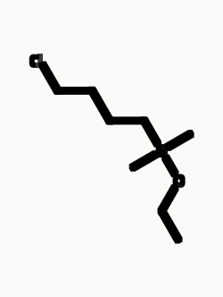 CCO[Si](C)(C)CCCCCl